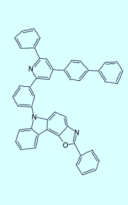 c1ccc(-c2ccc(-c3cc(-c4ccccc4)nc(-c4cccc(-n5c6ccccc6c6c7oc(-c8ccccc8)nc7ccc65)c4)c3)cc2)cc1